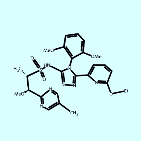 CCOc1cccc(-c2nnc(NS(=O)(=O)[C@@H](C)[C@H](OC)c3ncc(C)cn3)n2-c2c(OC)cccc2OC)n1